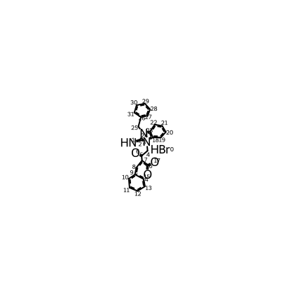 Br.N=c1n(CC(=O)c2cc3ccccc3oc2=O)c2ccccc2n1Cc1ccccc1